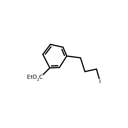 CCOC(=O)c1cccc(CCCI)c1